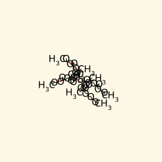 COCCOCCOC(=O)C(C)OC(=O)c1cc(C(=O)OC(C)C(=O)OCC(=O)OCCOC)c(C(=O)OC(C)C(=O)OCC(=O)OCCOC)cc1C(=O)OC(C)C(=O)OCC(=O)OCCOC